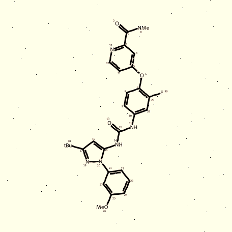 CNC(=O)c1cc(Oc2ccc(NC(=O)Nc3cc(C(C)(C)C)nn3-c3cccc(OC)c3)cc2F)ccn1